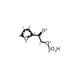 O=C(COS(=O)(=O)O)c1ccco1